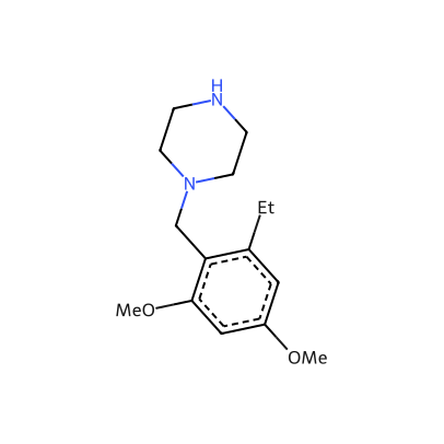 CCc1cc(OC)cc(OC)c1CN1CCNCC1